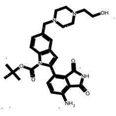 CC(C)(C)OC(=O)n1c(-c2ccc(N)c3c2C(=O)NC3=O)cc2cc(CN3CCN(CCO)CC3)ccc21